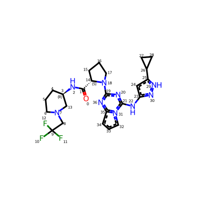 O=C(N[C@@H]1CCCN(CC(F)(F)F)C1)[C@@H]1CCCN1c1nc(Nc2cc(C3CC3)[nH]n2)n2cccc2n1